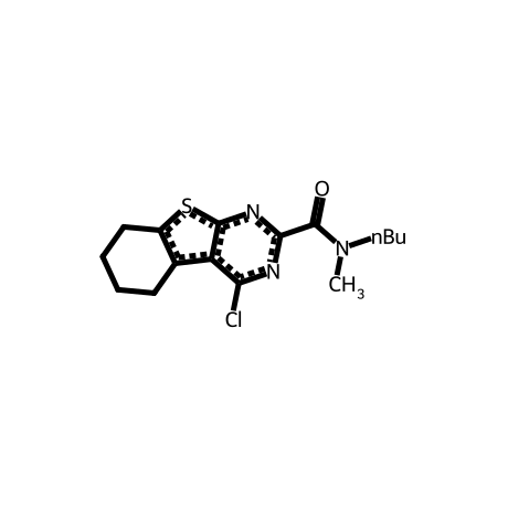 CCCCN(C)C(=O)c1nc(Cl)c2c3c(sc2n1)CCCC3